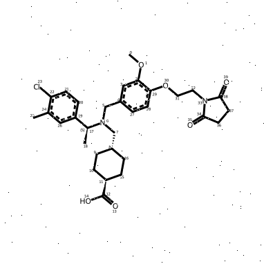 COc1cc(CN(C[C@H]2CC[C@H](C(=O)O)CC2)[C@@H](C)c2ccc(Cl)c(C)c2)ccc1OCCN1C(=O)CCC1=O